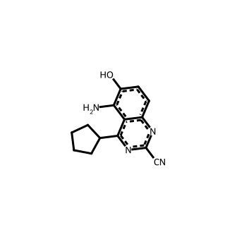 N#Cc1nc(C2CCCC2)c2c(N)c(O)ccc2n1